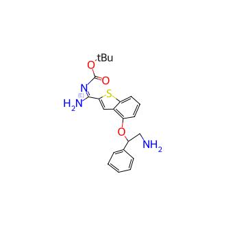 CC(C)(C)OC(=O)/N=C(/N)c1cc2c(OC(CN)c3ccccc3)cccc2s1